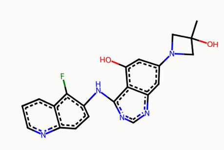 CC1(O)CN(c2cc(O)c3c(Nc4ccc5ncccc5c4F)ncnc3c2)C1